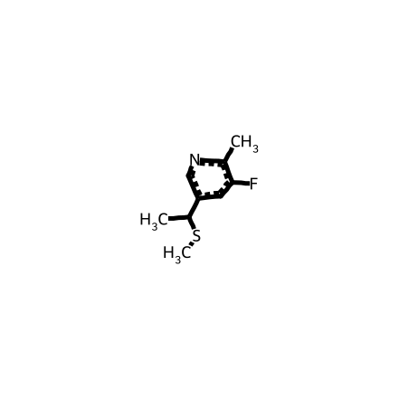 CSC(C)c1cnc(C)c(F)c1